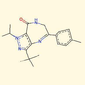 Cc1ccc(C2=Nc3c(C(C)(C)C)nn(C(C)C)c3C(=O)NC2)cc1